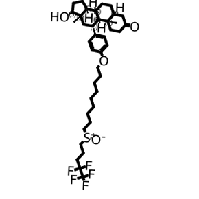 C[C@]12CCC(=O)C[C@@H]1CC[C@@H]1[C@@H]2[C@@H](c2ccc(OCCCCCCCCC[S+]([O-])CCCC(F)(F)C(F)(F)F)cc2)C[C@]2(C)[C@@H](O)CC[C@@H]12